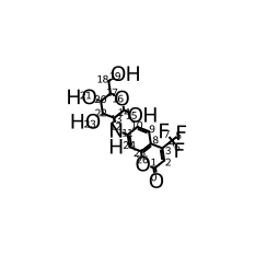 O=c1cc(C(F)(F)F)c2ccc(NC3C(O)OC(CO)[C@H](O)[C@H]3O)cc2o1